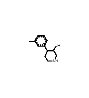 Cc1cccc(C2CCNCC2O)c1